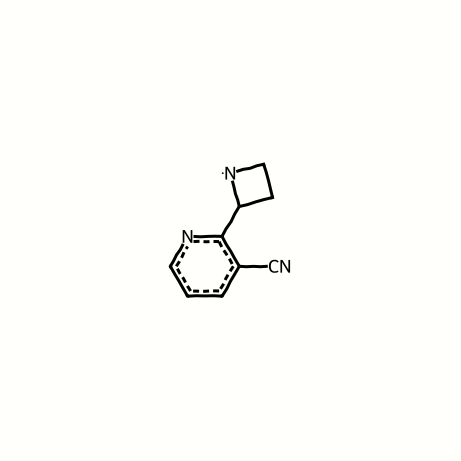 N#Cc1cccnc1C1CC[N]1